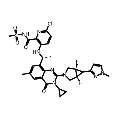 Cc1cc([C@@H](C)Nc2ccc(Cl)nc2C(=O)NS(C)(=O)=O)c2nc(N3C[C@@H]4C(c5ccn(C)n5)[C@@H]4C3)n(C3CC3)c(=O)c2c1